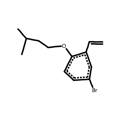 C=Cc1cc(Br)ccc1OCCC(C)C